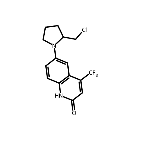 O=c1cc(C(F)(F)F)c2cc(N3CCCC3CCl)ccc2[nH]1